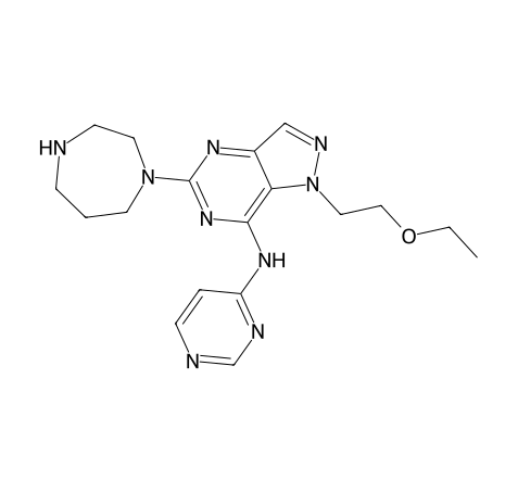 CCOCCn1ncc2nc(N3CCCNCC3)nc(Nc3ccncn3)c21